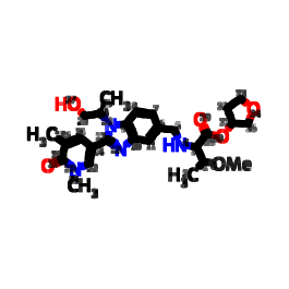 COC(C)C(NCc1ccc2c(c1)nc(-c1cc(C)c(=O)n(C)c1)n2[C@@H](C)CO)C(=O)OC1CCOC1